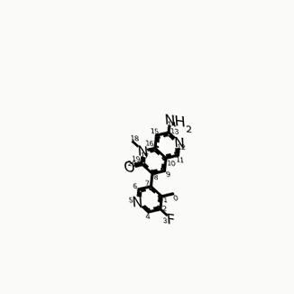 Cc1c(F)cncc1-c1cc2cnc(N)cc2n(C)c1=O